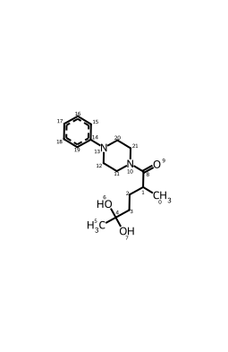 CC(CCC(C)(O)O)C(=O)N1CCN(c2ccccc2)CC1